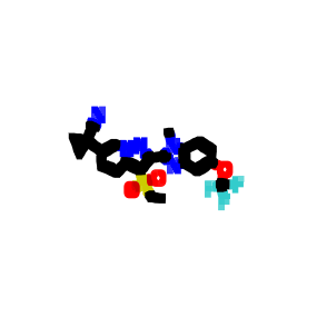 CCS(=O)(=O)c1c(-c2nc3cc(OC(F)(F)F)ccc3n2C)nn2cc(C3(C#N)CC3)ccc12